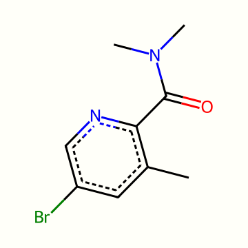 Cc1cc(Br)cnc1C(=O)N(C)C